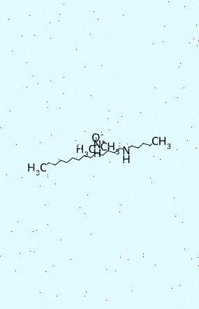 CCCCCCCCCCCCCCNCCCCC.C[NH+](C)[O-]